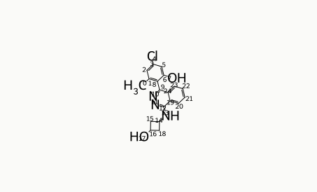 Cc1cc(Cl)cc(O)c1-c1nnc(NC2CC(O)C2)c2ccccc12